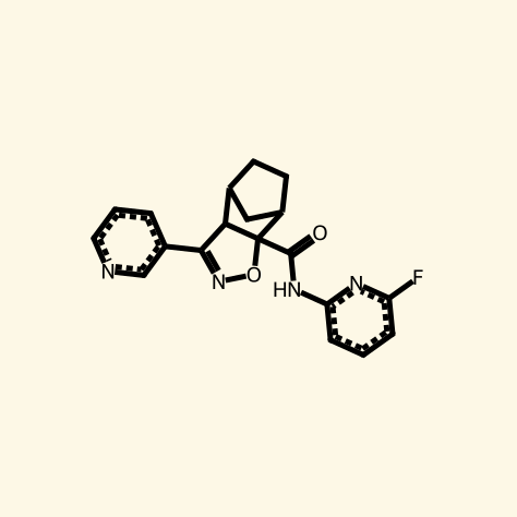 O=C(Nc1cccc(F)n1)C12ON=C(c3cccnc3)C1C1CCC2C1